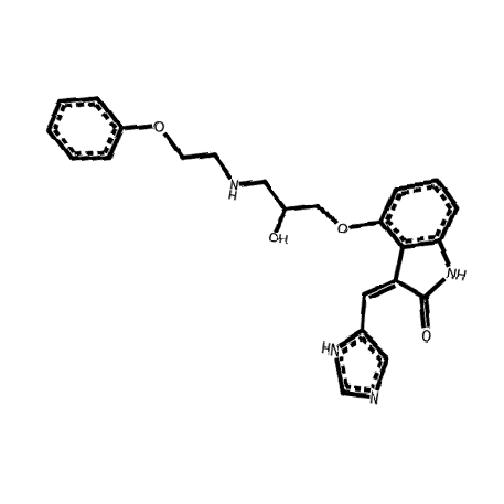 O=C1Nc2cccc(OCC(O)CNCCOc3ccccc3)c2/C1=C/c1cnc[nH]1